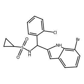 O=S(=O)(NC(c1cc2cccc(Br)c2[nH]1)c1ccccc1Cl)C1CC1